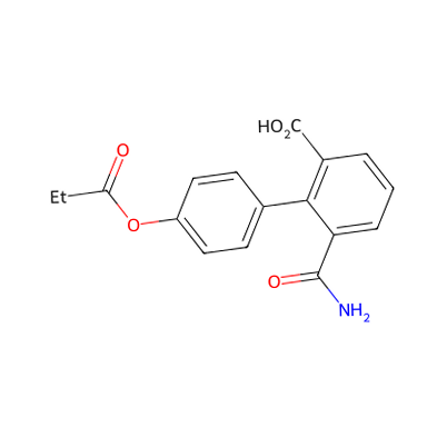 CCC(=O)Oc1ccc(-c2c(C(N)=O)cccc2C(=O)O)cc1